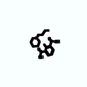 CCCCN1CCCCC1.Cc1c(C(=O)O)cccc1C(=O)O